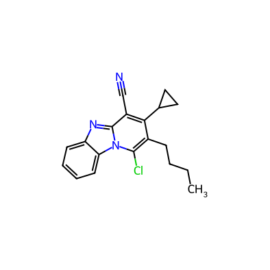 CCCCc1c(C2CC2)c(C#N)c2nc3ccccc3n2c1Cl